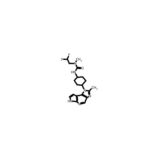 Cc1nc2cnc3[nH]ccc3c2n1C1CCC(NC(=O)N(C)CC(F)F)CC1